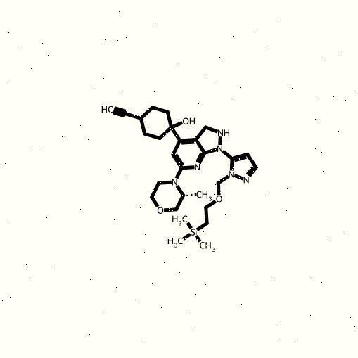 C#CC1CCC(O)(c2cc(N3CCOC[C@H]3C)nc3c2CNN3c2ccnn2COCC[Si](C)(C)C)CC1